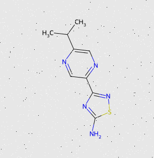 CC(C)c1cnc(-c2nsc(N)n2)cn1